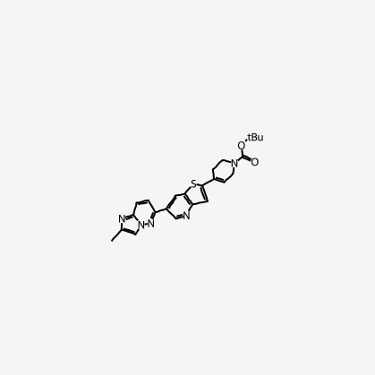 Cc1cn2nc(-c3cnc4cc(C5=CCN(C(=O)OC(C)(C)C)CC5)sc4c3)ccc2n1